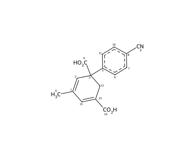 CC1=CC(C(=O)O)(c2ccc(C#N)cc2)CC(C(=O)O)=C1